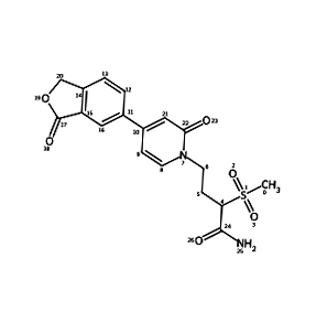 CS(=O)(=O)C(CCn1ccc(-c2ccc3c(c2)C(=O)OC3)cc1=O)C(N)=O